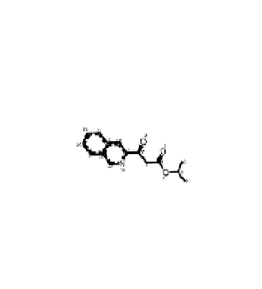 CC(C)OC(=O)CC(=O)c1cc2ccccc2cn1